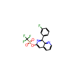 O=S(=O)(Oc1cc2cccnc2c(-c2cccc(F)c2)n1)C(F)(F)F